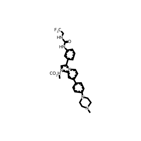 CC(=O)O.CN1CCN(c2ccc(-c3ccn4c(-c5cccc(NC(=O)NCC(F)(F)F)c5)cnc4c3)cc2)CC1